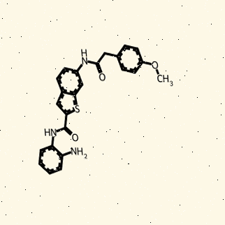 COc1ccc(CC(=O)Nc2ccc3cc(C(=O)Nc4ccccc4N)sc3c2)cc1